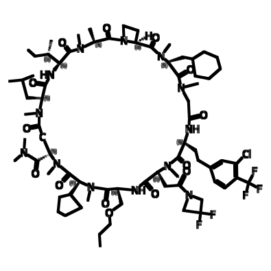 CCCOC[C@@H]1NC(=O)[C@H](CC(=O)N2CC(F)(F)C2)N(C)C(=O)[C@H](CCc2ccc(C(F)(F)F)c(Cl)c2)NC(=O)CN(C)C(=O)[C@H](CC2CCCCC2)N(C)C(=O)[C@@H]2CCN2C(=O)[C@H](C)N(C)C(=O)[C@H]([C@@H](C)CC)NC(=O)[C@H](CC(C)C)N(C)C(=O)C[C@@H](C(=O)N(C)C)N(C)C(=O)[C@H](C2CCCC2)N(C)C1=O